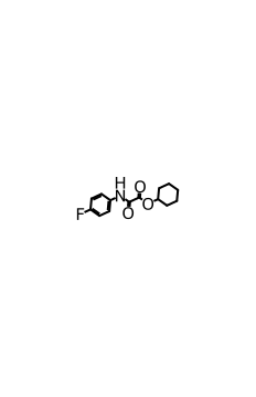 O=C(Nc1ccc(F)cc1)C(=O)OC1CCCCC1